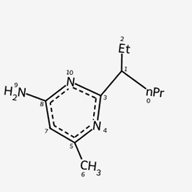 CCCC(CC)c1nc(C)cc(N)n1